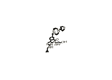 CCC[C@@H](CCO)n1c(=O)c2cc(CN3CCN(c4ccncc4)CC3)ccc2c2cnc(NCC3CC3)nc21